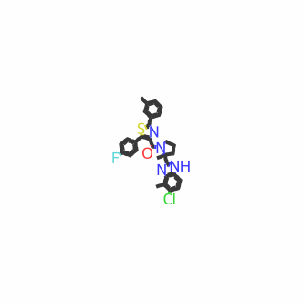 Cc1cccc(-c2nc(C(=O)N3CCCC3(C)c3nc4c(C)c(Cl)ccc4[nH]3)c(-c3ccc(F)cc3)s2)c1